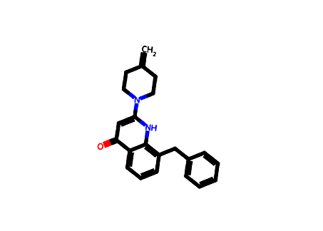 C=C1CCN(c2cc(=O)c3cccc(Cc4ccccc4)c3[nH]2)CC1